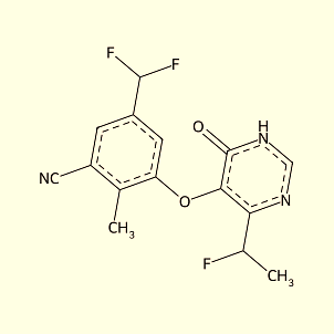 Cc1c(C#N)cc(C(F)F)cc1Oc1c(C(C)F)nc[nH]c1=O